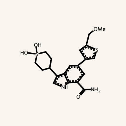 COCc1cc(-c2cc(C(N)=O)c3[nH]cc(C4CCS(O)(O)CC4)c3c2)cs1